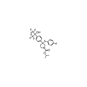 CC(C)OC(=O)N1CCC(Sc2ccc(F)cc2)(c2ccc(C(O)(C(F)(F)F)C(F)(F)F)cc2)C1